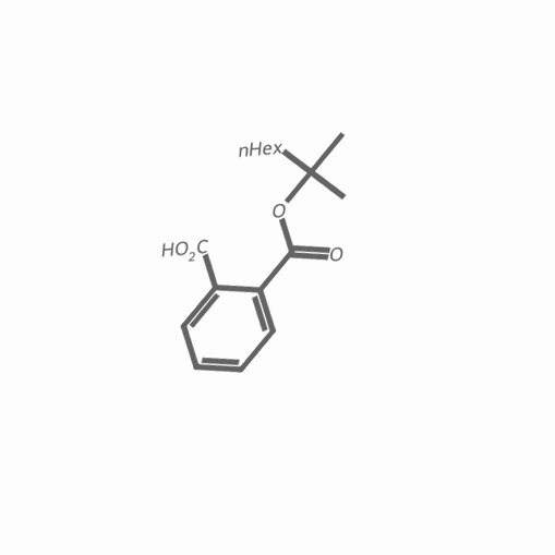 CCCCCCC(C)(C)OC(=O)c1ccccc1C(=O)O